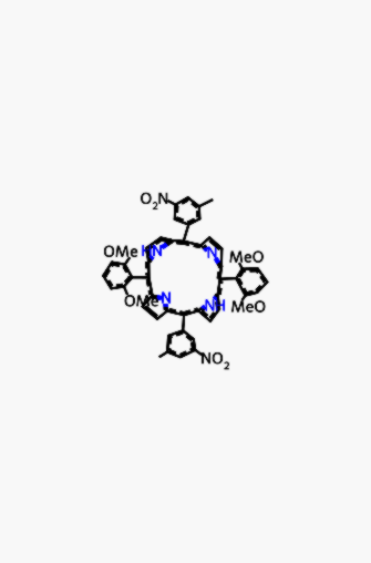 COc1cccc(OC)c1-c1c2nc(c(-c3cc(C)cc([N+](=O)[O-])c3)c3ccc([nH]3)c(-c3c(OC)cccc3OC)c3nc(c(-c4cc(C)cc([N+](=O)[O-])c4)c4ccc1[nH]4)C=C3)C=C2